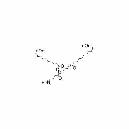 CCCCCCCC/C=C\CCCCCCCC(=O)OCC(COC(=O)CCCN(C)CC)OC(=O)CCCCCCC/C=C\CCCCCCCC